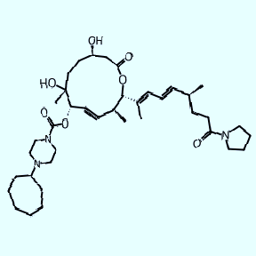 C/C(=C\C=C\[C@@H](C)CCC(=O)N1CCCC1)[C@H]1OC(=O)C[C@H](O)CC[C@@](C)(O)[C@@H](OC(=O)N2CCN(C3CCCCCC3)CC2)/C=C/[C@@H]1C